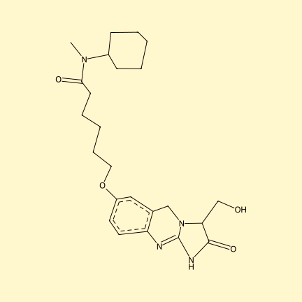 CN(C(=O)CCCCCOc1ccc2c(c1)CN1C(=N2)NC(=O)C1CO)C1CCCCC1